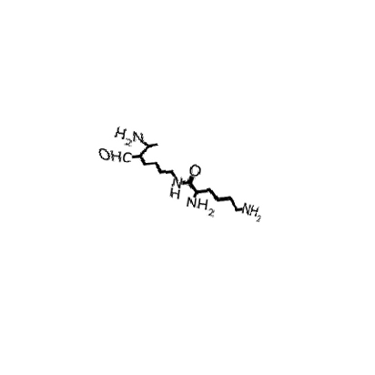 CC(N)C(C=O)CCCCNC(=O)C(N)CCCCN